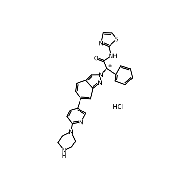 Cl.O=C(Nc1nccs1)[C@@H](c1ccccc1)n1cc2ccc(-c3ccc(N4CCNCC4)nc3)cc2n1